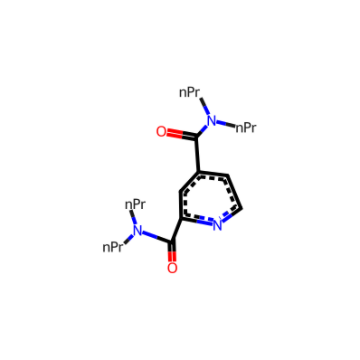 CCCN(CCC)C(=O)c1ccnc(C(=O)N(CCC)CCC)c1